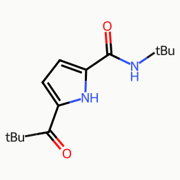 CC(C)(C)NC(=O)c1ccc(C(=O)C(C)(C)C)[nH]1